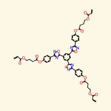 C=CC(=O)OCCCC(=O)Oc1ccc(-c2noc(-c3cc(-c4nc(-c5ccc(OC(=O)CCCOC(=O)C=C)cc5)no4)cc(-c4nc(-c5ccc(OC(=O)CCCOC(=O)C=C)cc5)no4)c3)n2)cc1